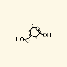 OOC1CCOC(O)C1